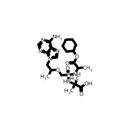 CC(Cn1cnc2c(N)ncnc21)OCP(=O)(NC(C)C(=O)OC1CCCCC1)NC(C)(C)C(=O)O